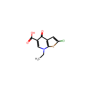 CCn1cc(C(=O)O)c(=O)c2cc(Cl)sc21